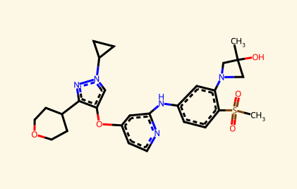 CC1(O)CN(c2cc(Nc3cc(Oc4cn(C5CC5)nc4C4CCOCC4)ccn3)ccc2S(C)(=O)=O)C1